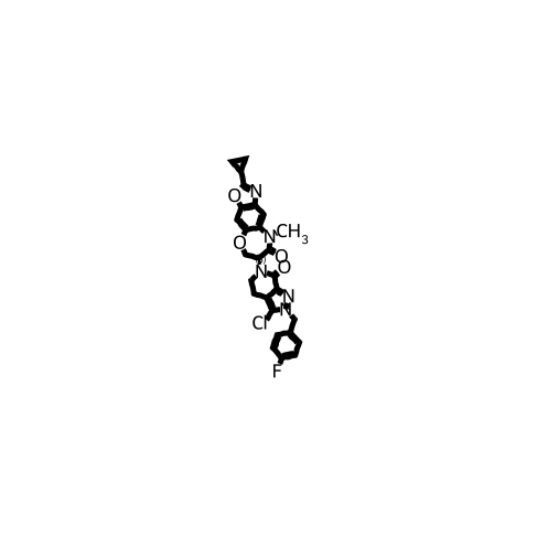 CN1C(=O)[C@@H](N2CCc3c(nn(Cc4ccc(F)cc4)c3Cl)C2=O)COc2cc3oc(C4CC4)nc3cc21